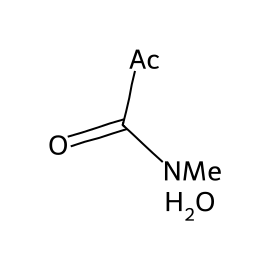 CNC(=O)C(C)=O.O